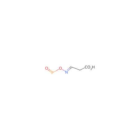 O=PON=CCC(=O)O